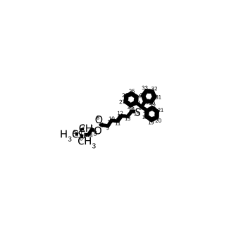 C[Si](C)(C)CCOC(=O)C[CH]C=CCCSC(c1ccccc1)(c1ccccc1)c1ccccc1